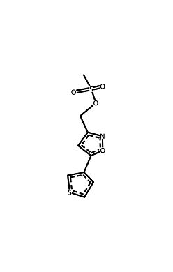 CS(=O)(=O)OCc1cc(-c2ccsc2)on1